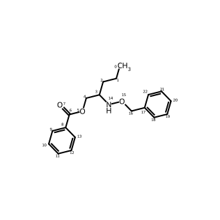 CCCC(COC(=O)c1ccccc1)NOCc1ccccc1